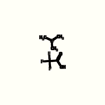 C[Si](C)C.O=C(O)C(F)(F)F